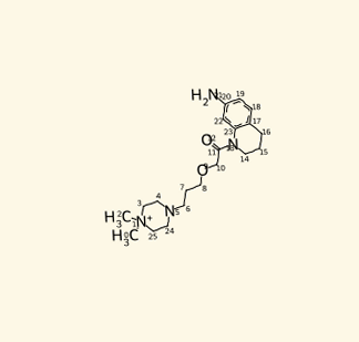 C[N+]1(C)CCN(CCCOCC(=O)N2CCCc3ccc(N)cc32)CC1